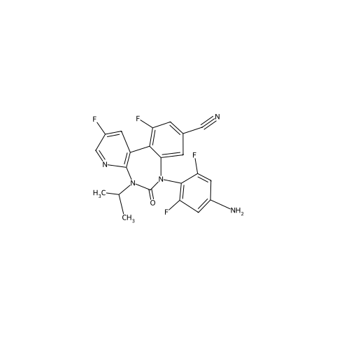 CC(C)N1C(=O)N(c2c(F)cc(N)cc2F)c2cc(C#N)cc(F)c2-c2cc(F)cnc21